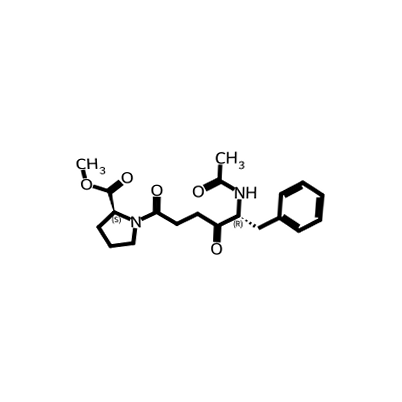 COC(=O)[C@@H]1CCCN1C(=O)CCC(=O)[C@@H](Cc1ccccc1)NC(C)=O